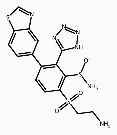 NCCS(=O)(=O)c1ccc(-c2ccc3scnc3c2)c(-c2nnn[nH]2)c1[S+](N)[O-]